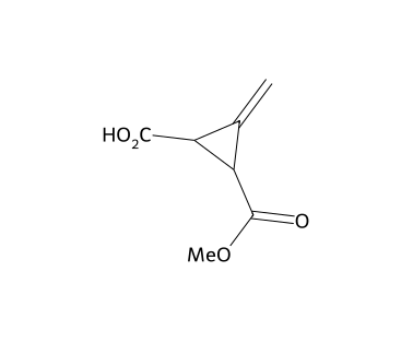 C=C1C(C(=O)O)C1C(=O)OC